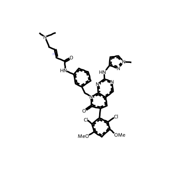 COc1cc(OC)c(Cl)c(-c2cc3cnc(Nc4ccn(C)n4)nc3n(Cc3cccc(NC(=O)/C=C/CN(C)C)c3)c2=O)c1Cl